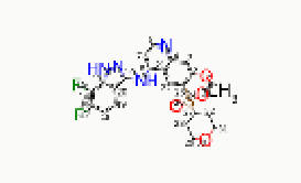 COc1cc2nccc(Nc3n[nH]c4c(F)c(F)ccc34)c2cc1S(=O)(=O)C1CCOCC1